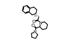 O=C(C1CCCCN1C(=O)C[C@H]1CCc2ccccc2C1)N1CCCC1